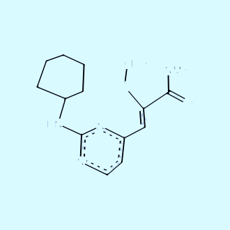 CNC(=O)/C(=C/c1ccnc(NC2CCCCC2)n1)SC=O